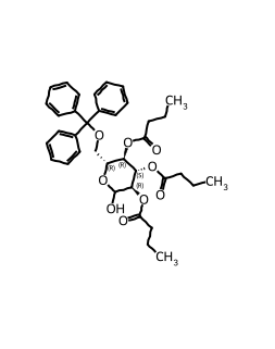 CCCC(=O)O[C@H]1[C@H](OC(=O)CCC)[C@@H](OC(=O)CCC)C(O)O[C@@H]1COC(c1ccccc1)(c1ccccc1)c1ccccc1